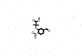 COC(=O)C(C)(C)Oc1cc(C=O)ccc1[N+](=O)[O-]